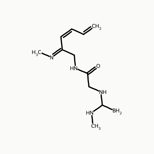 BC(NC)NCC(=O)NCC(/C=C\C=C)=N/C